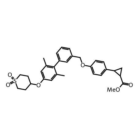 COC(=O)C1CC1c1ccc(OCc2cccc(-c3c(C)cc(OC4CCS(=O)(=O)CC4)cc3C)c2)cc1